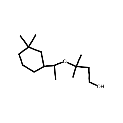 CC(OC(C)(C)CCO)C1CCCC(C)(C)C1